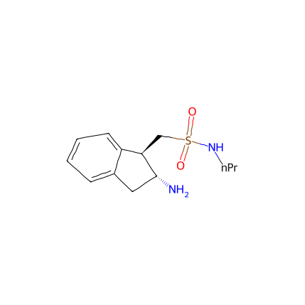 CCCNS(=O)(=O)C[C@@H]1c2ccccc2C[C@H]1N